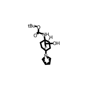 CC(C)(C)OC(=O)NC12CCC(n3cccc3)(CC1)C[C@@H]2O